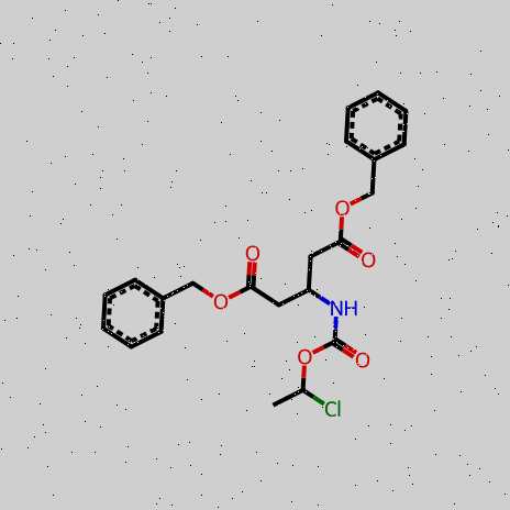 CC(Cl)OC(=O)NC(CC(=O)OCc1ccccc1)CC(=O)OCc1ccccc1